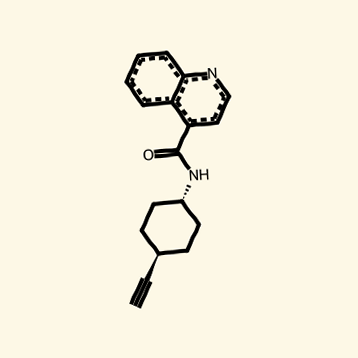 C#C[C@H]1CC[C@H](NC(=O)c2ccnc3ccccc23)CC1